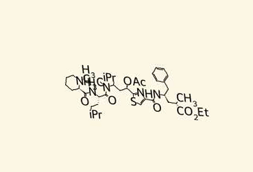 CCOC(=O)[C@@H](C)C[C@H](Cc1ccccc1)NC(=O)c1csc([C@@H](CC(C(C)C)N(C)C(=O)[C@H](CCC(C)C)NC(=O)[C@H]2CCCCN2C)OC(C)=O)n1